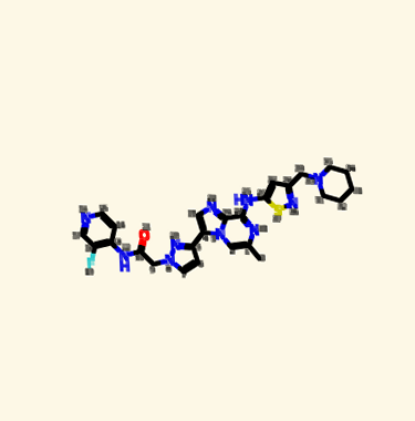 Cc1cn2c(-c3ccn(CC(=O)Nc4ccncc4F)n3)cnc2c(Nc2cc(CN3CCCCC3)ns2)n1